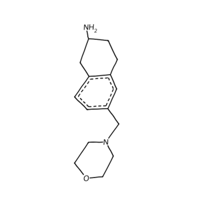 NC1CCc2cc(CN3CCOCC3)ccc2C1